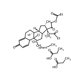 CCC(=O)O.CCC(=O)O.CCC(=O)OCC(=O)[C@@]1(OC(=O)CC)[C@@H](C)C[C@H]2[C@@H]3CCC4=CC(=O)C=C[C@]4(C)C3(Cl)[C@@H](O)C[C@@]21C.CCCCCC